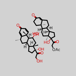 CC(=O)OCC(=O)[C@@]1(O)CC[C@H]2[C@@H]3CCC4=CC(=O)CC[C@]4(C)[C@H]3[C@@H](O)C[C@@]21C.C[C@H]1C[C@@H]2[C@H]([C@@H](O)C[C@@]3(C)[C@H]2CC[C@]3(O)C(=O)CO)[C@@]2(C)C=CC(=O)C=C12